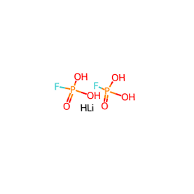 O=P(O)(O)F.O=P(O)(O)F.[LiH]